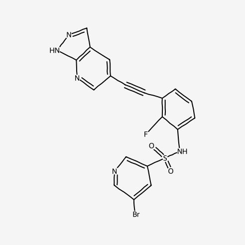 O=S(=O)(Nc1cccc(C#Cc2cnc3[nH]ncc3c2)c1F)c1cncc(Br)c1